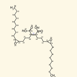 CCCCCCCCCC1OC1CCC/C(C(=O)O)=C(\CCCC1OC1CCCCCCCCC)C(=O)O